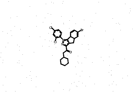 O=C(CC1CCCCC1)c1nn(-c2ccc(Cl)cc2Cl)c2c1CC1C=C(Br)C=CC21